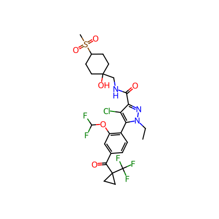 CCn1nc(C(=O)NCC2(O)CCC(S(C)(=O)=O)CC2)c(Cl)c1-c1ccc(C(=O)C2(C(F)(F)F)CC2)cc1OC(F)F